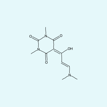 CN(C)C=CC(O)=C1C(=O)N(C)C(=O)N(C)C1=O